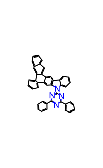 c1ccc(-c2nc(-c3ccccc3)nc(-n3c4ccccc4c4cc5c6cc7ccccc7cc6c6ccccc6c5cc43)n2)cc1